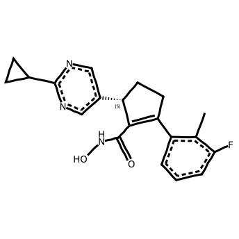 Cc1c(F)cccc1C1=C(C(=O)NO)[C@H](c2cnc(C3CC3)nc2)CC1